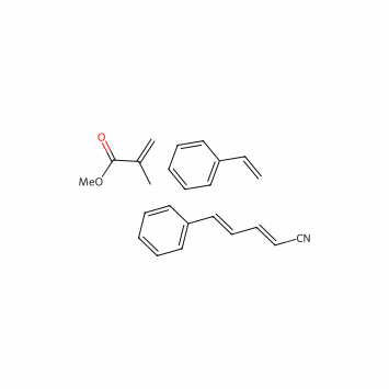 C=C(C)C(=O)OC.C=Cc1ccccc1.N#CC=CC=Cc1ccccc1